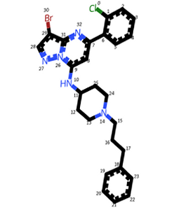 Clc1ccccc1-c1cc(NC2CCN(CCCc3ccccc3)CC2)n2ncc(Br)c2n1